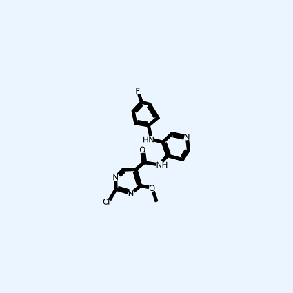 COc1nc(Cl)ncc1C(=O)Nc1ccncc1Nc1ccc(F)cc1